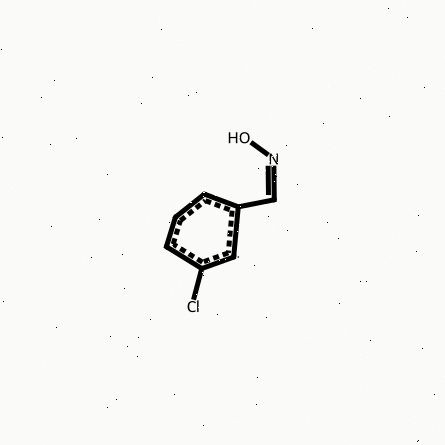 O/N=C\c1[c]c(Cl)ccc1